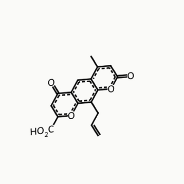 C=CCc1c2oc(=O)cc(C)c2cc2c(=O)cc(C(=O)O)oc12